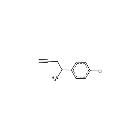 C#CCC(N)c1ccc(Cl)cc1